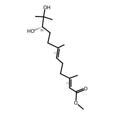 COC(=O)/C=C(\C)CC/C=C(\C)CC[C@H](O)C(C)(C)O